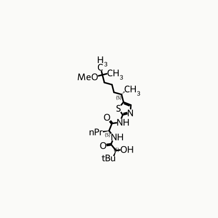 CCC[C@H](NC(=O)[C@@H](O)C(C)(C)C)C(=O)Nc1ncc([C@@H](C)CCCC(C)(C)OC)s1